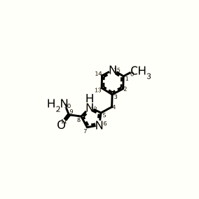 Cc1cc(Cc2ncc(C(N)=O)[nH]2)ccn1